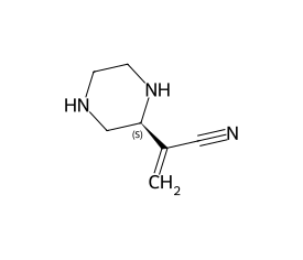 C=C(C#N)[C@H]1CNCCN1